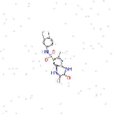 Cc1cc2[nH]c(=O)c(=O)[nH]c2cc1S(=O)(=O)Nc1ccc2c(c1)CCC2